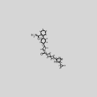 NC(=O)c1ccccc1-c1ccc(C2CN(C(=O)N3CC4(CC(c5nnc(C6CC6)[nH]5)C4)C3)C2)cc1